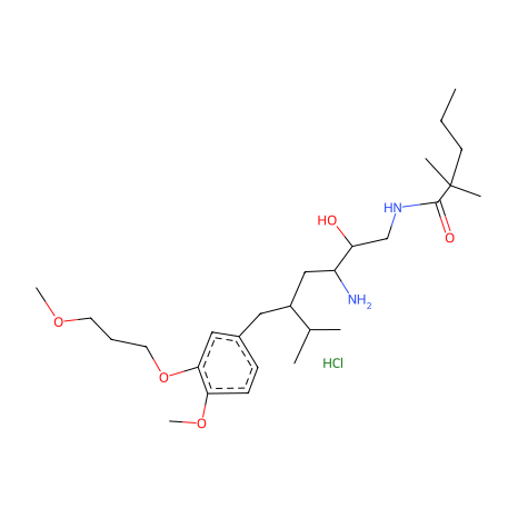 CCCC(C)(C)C(=O)NCC(O)C(N)CC(Cc1ccc(OC)c(OCCCOC)c1)C(C)C.Cl